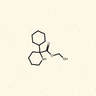 O=C(OCO)C1(C2CCCCC2)CCCCN1